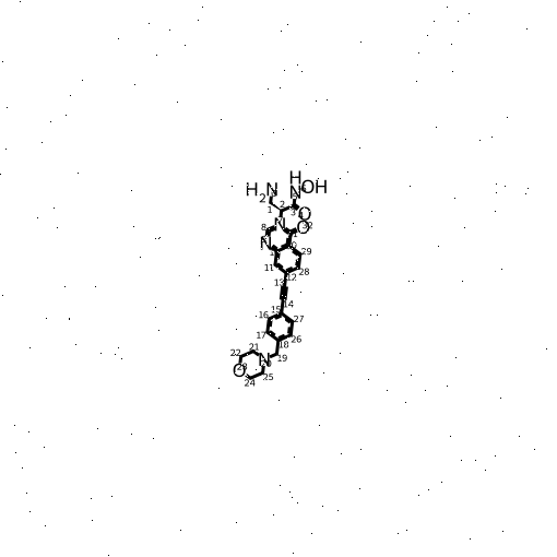 NC[C@@H](C(=O)NO)n1cnc2cc(C#Cc3ccc(CN4CCOCC4)cc3)ccc2c1=O